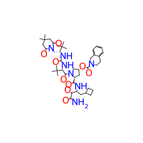 CC1(C)CC(=O)N(C[C@@H](NC(=O)N[C@H](C(=O)N2C[C@H](OC(=O)N3CCc4ccccc4C3)C[C@H]2C(=O)NC(CC2CCC2)C(=O)C(N)=O)C(C)(C)C)C(C)(C)C)C(=O)C1